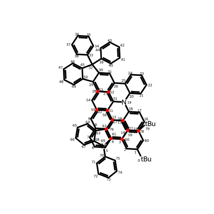 CC(C)(C)c1cc(-c2cccc3cccc(-c4ccccc4N(c4ccccc4-c4ccc5c(c4)C(c4ccccc4)(c4ccccc4)c4ccccc4-5)c4ccccc4-c4cccc5c4c4ccccc4n5-c4ccccc4)c23)cc(C(C)(C)C)c1